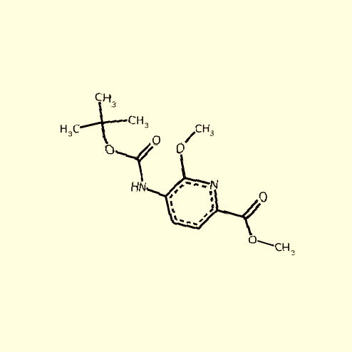 COC(=O)c1ccc(NC(=O)OC(C)(C)C)c(OC)n1